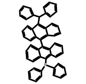 c1ccc(C(c2ccccc2)c2c3ccccc3c(-c3c4ccccc4c(N(c4ccccc4)c4ccccc4)c4ccccc34)c3ccccc23)cc1